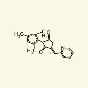 Cc1cc(C)c(C2C(=O)C/C(=C\c3ccccn3)C2=O)c(C)c1